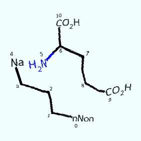 CCCCCCCCCCC[CH2][Na].NC(CCC(=O)O)C(=O)O